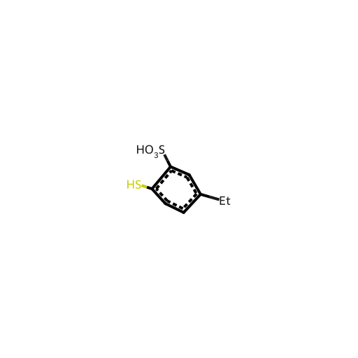 CCc1ccc(S)c(S(=O)(=O)O)c1